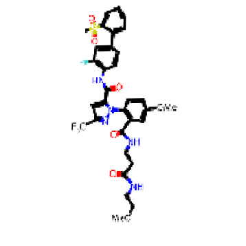 COCCNC(=O)CCNC(=O)c1cc(OC)ccc1-n1nc(C(F)(F)F)cc1C(=O)Nc1ccc(-c2ccccc2S(C)(=O)=O)cc1F